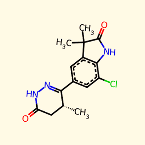 C[C@@H]1CC(=O)NN=C1c1cc(Cl)c2c(c1)C(C)(C)C(=O)N2